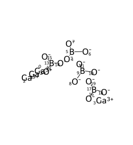 [Ga+3].[Ga+3].[Ga+3].[Ga+3].[O-]B([O-])[O-].[O-]B([O-])[O-].[O-]B([O-])[O-].[O-]B([O-])[O-]